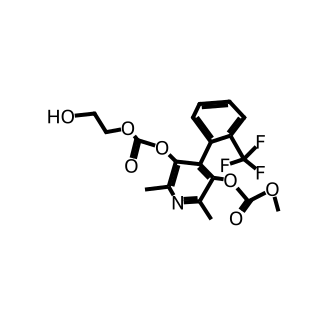 COC(=O)Oc1c(C)nc(C)c(OC(=O)OCCO)c1-c1ccccc1C(F)(F)F